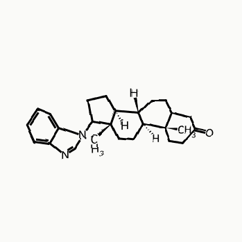 C[C@]12CCC(=O)CC1CC[C@@H]1[C@@H]2CC[C@]2(C)C(n3cnc4ccccc43)CC[C@@H]12